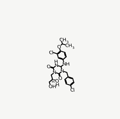 CC(C)Oc1ccc(NC2NC(=O)N(C[C@@H](O)CO)C(=O)N2Cc2ccc(Cl)cc2)cc1Cl